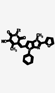 CCN1C(=O)C(C#N)=C(C)/C(=C/c2cc3c(nc(-c4ccco4)n3C)n2-c2ccccc2)C1=O